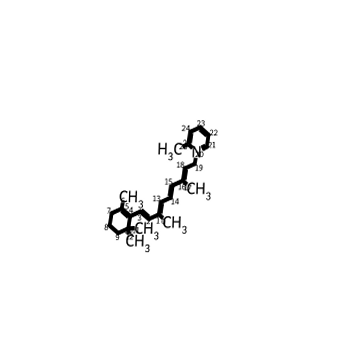 CC(C=CC1=C(C)CCCC1(C)C)=CC=C/C(C)=C/C[n+]1ccccc1C